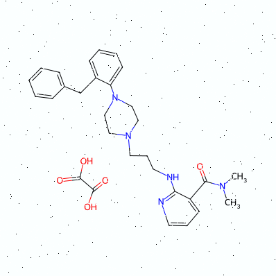 CN(C)C(=O)c1cccnc1NCCCN1CCN(c2ccccc2Cc2ccccc2)CC1.O=C(O)C(=O)O